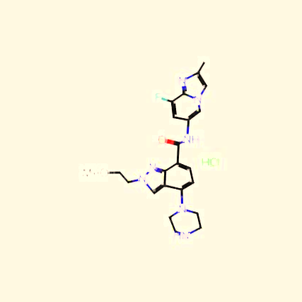 COCCn1cc2c(N3CCNCC3)ccc(C(=O)Nc3cc(F)c4nc(C)cn4c3)c2n1.Cl